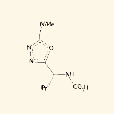 CNc1nnc([C@H](NC(=O)O)C(C)C)o1